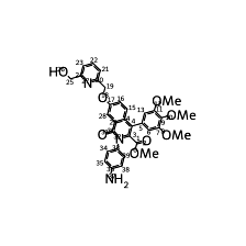 COC(=O)c1c(-c2cc(OC)c(OC)c(OC)c2)c2ccc(OCc3cccc(CO)n3)cc2c(=O)n1-c1ccc(N)cc1